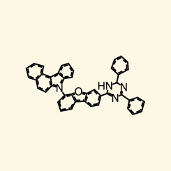 c1ccc(C2=NC(c3ccccc3)NC(c3ccc4c(c3)oc3c(-n5c6ccccc6c6c7ccccc7ccc65)cccc34)=N2)cc1